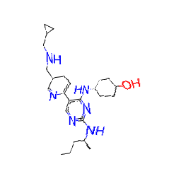 CCC[C@H](C)Nc1ncc(C2=CCC(CNCC3CC3)C=N2)c(N[C@H]2CC[C@H](O)CC2)n1